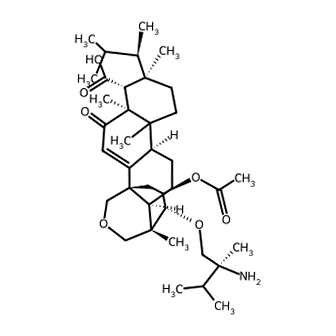 CC(=O)O[C@@H]1C[C@]23COC[C@](C)([C@@H]2CC[C@H]2C3=CC(=O)[C@@]3(C)[C@H](C(=O)O)[C@@](C)([C@H](C)C(C)C)CCC23C)[C@H]1OC[C@@](C)(N)C(C)C